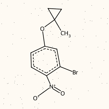 CC1(Oc2ccc([N+](=O)[O-])c(Br)c2)CC1